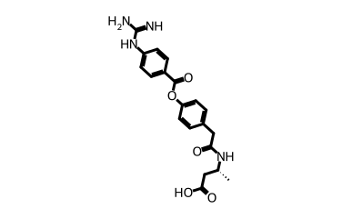 C[C@H](CC(=O)O)NC(=O)Cc1ccc(OC(=O)c2ccc(NC(=N)N)cc2)cc1